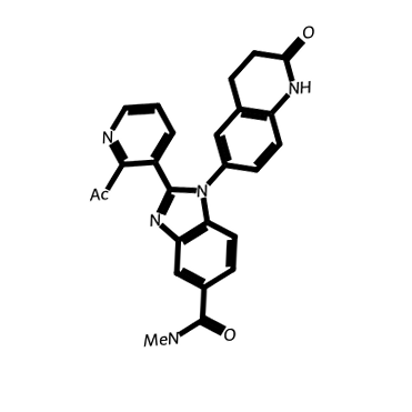 CNC(=O)c1ccc2c(c1)nc(-c1cccnc1C(C)=O)n2-c1ccc2c(c1)CCC(=O)N2